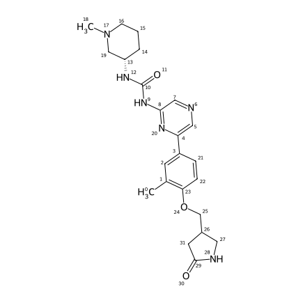 Cc1cc(-c2cncc(NC(=O)N[C@H]3CCCN(C)C3)n2)ccc1OCC1CNC(=O)C1